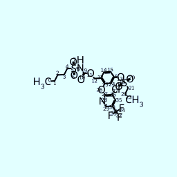 CCCCCS(=O)(=O)NC(=O)OCc1ccc(OS(=O)(=O)CCC)cc1Oc1ncc(C(F)(F)F)cc1Cl